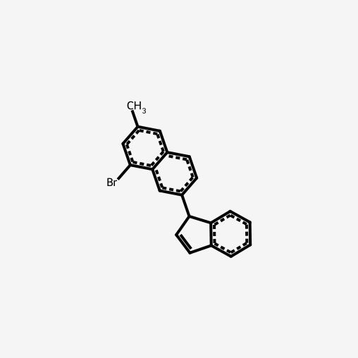 Cc1cc(Br)c2cc(C3C=Cc4ccccc43)ccc2c1